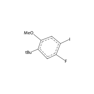 COc1cc(I)c(F)cc1C(C)(C)C